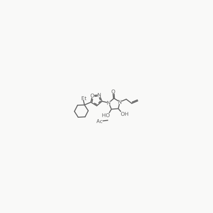 C=CCN1C(=O)N(c2cc(C3(CC)CCCCC3)on2)C(O)C1O.CC(C)=O